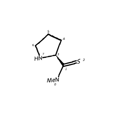 CNC(=S)[C@@H]1CCCN1